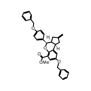 C=C1C[C@H]2[C@@H](C1)c1cc(OCc3ccccc3)cc(C(=O)OC)c1O[C@H]2c1ccc(OCc2ccccc2)cc1